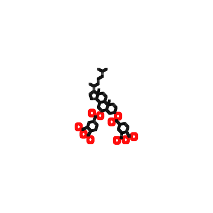 CC(C)CCCC(C)C1CCC2C3CC(OC(=O)C4CCC5C(=O)OC(=O)C5C4)C4CC(OC(=O)C5CCC6C(=O)OC(=O)C6C5)CCC4(C)C3CCC12C